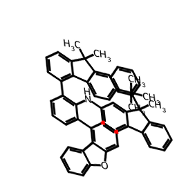 CC(C)(C)c1ccc2c(c1)C(C)(C)c1cccc(-c3cccc(-c4cccc5oc6ccccc6c45)c3Nc3ccc4c(c3)C(C)(c3ccccc3)c3ccccc3-4)c1-2